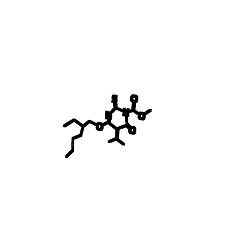 CCCCC(CC)COC1=NC(=S)N(C(=O)OC)C(=O)C1=C(C)C